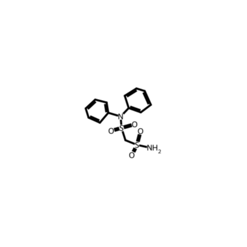 NS(=O)(=O)CS(=O)(=O)N(c1ccccc1)c1ccccc1